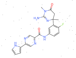 CN1C(=O)CC(C)(c2cc(NC(=O)c3cnc(-c4ccc[nH]4)cn3)ccc2F)N=C1N